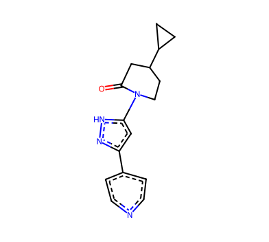 O=C1CC(C2CC2)CCN1c1cc(-c2ccncc2)n[nH]1